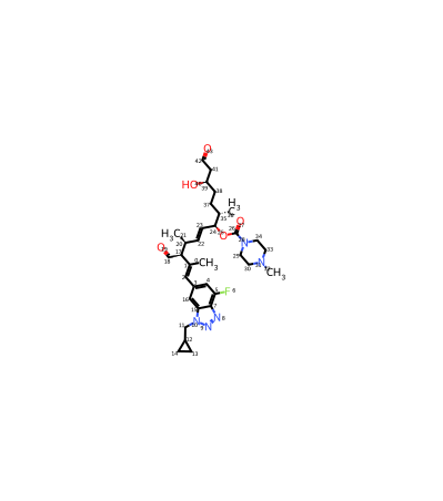 C/C(=C\c1cc(F)c2nnn(CC3CC3)c2c1)[C@@H](C=O)[C@@H](C)/C=C/[C@H](OC(=O)N1CCN(C)CC1)[C@@H](C)CC[C@@H](O)CC=O